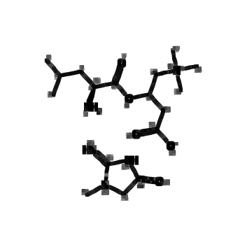 CC(C)C[C@H](N)C(=O)OC(CC(=O)[O-])C[N+](C)(C)C.CN1CC(=O)NC1=N